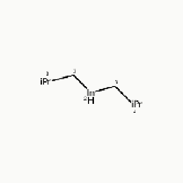 CC(C)[CH2][InH][CH2]C(C)C